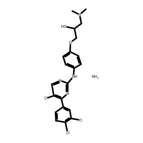 CN(C)CC(O)COc1ccc(Nc2ncc(Cl)c(-c3ccc(Cl)c(Cl)c3)n2)cc1.N